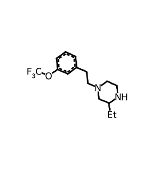 CCC1CN(CCc2cccc(OC(F)(F)F)c2)CCN1